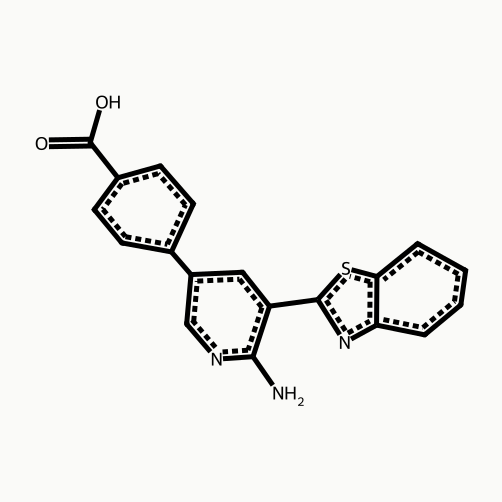 Nc1ncc(-c2ccc(C(=O)O)cc2)cc1-c1nc2ccccc2s1